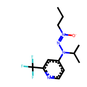 CCC[N+]([O-])=NN(c1ccnc(C(F)(F)F)c1)C(C)C